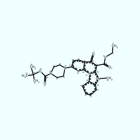 CCOC(=O)c1c(=O)c2ccc(N3CCN(C(=O)OC(C)(C)C)CC3)nc2n2c3ccccc3n(C)c12